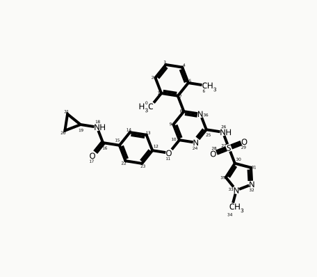 Cc1cccc(C)c1-c1cc(Oc2ccc(C(=O)NC3CC3)cc2)nc(NS(=O)(=O)c2cnn(C)c2)n1